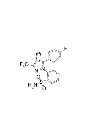 CCCc1c(C(F)(F)F)nn(-c2ccccc2S(N)(=O)=O)c1-c1ccc(F)cc1